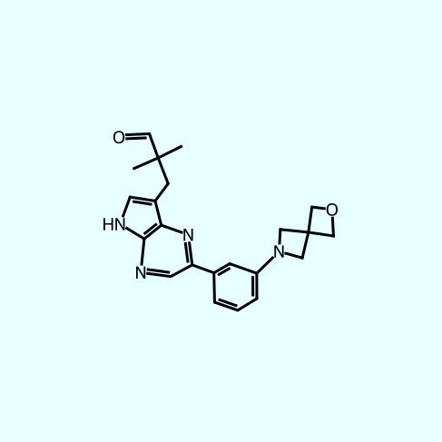 CC(C)(C=O)Cc1c[nH]c2ncc(-c3cccc(N4CC5(COC5)C4)c3)nc12